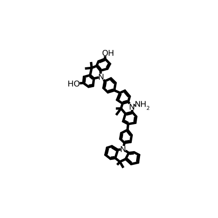 CC1(C)c2cc(-c3ccc(N4c5ccccc5C(C)(C)c5ccccc54)cc3)ccc2N(N)c2ccc(-c3ccc(N4c5ccc(O)cc5C(C)(C)c5cc(O)ccc54)cc3)cc21